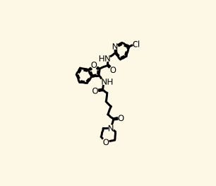 O=C(CCCCC(=O)N1CCOCC1)Nc1c(C(=O)Nc2ccc(Cl)cn2)oc2ccccc12